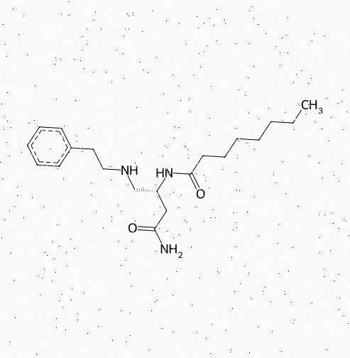 CCCCCCCC(=O)N[C@@H](CNCCc1ccccc1)CC(N)=O